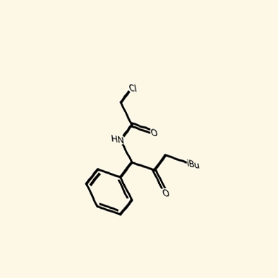 CCC(C)CC(=O)C(NC(=O)CCl)c1ccccc1